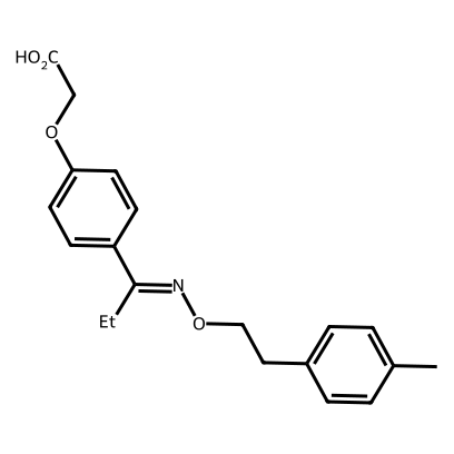 CC/C(=N\OCCc1ccc(C)cc1)c1ccc(OCC(=O)O)cc1